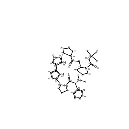 CN(C)[C@@H](C(=O)N1CCC[C@H]1c1ncc(-c2cnc([C@@H]3CCCN3C(=O)C[C@@H]3CCCN3C(=O)OC(C)(C)C)[nH]2)[nH]1)c1ccccc1